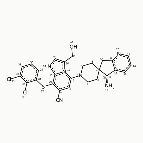 N#Cc1cc(N2CCC3(CC2)Cc2ncccc2[C@H]3N)n2c(CO)cnc2c1Sc1cccc(Cl)c1Cl